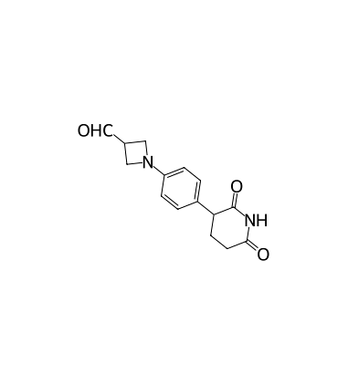 O=CC1CN(c2ccc(C3CCC(=O)NC3=O)cc2)C1